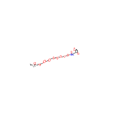 CC(=O)CCOCCOCCOCCOCCOCCOCCOCCOCCNC(=O)CCCC1C(=O)C=CC1=O